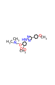 CCN(CC)CCOc1cc(Nc2ncc(-c3ccc(OC)cc3)cn2)ccc1C(=O)OC